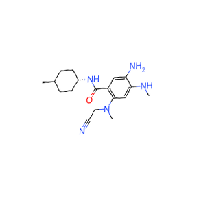 CNc1cc(N(C)CC#N)c(C(=O)N[C@H]2CC[C@H](C)CC2)cc1N